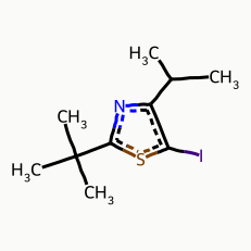 CC(C)c1nc(C(C)(C)C)sc1I